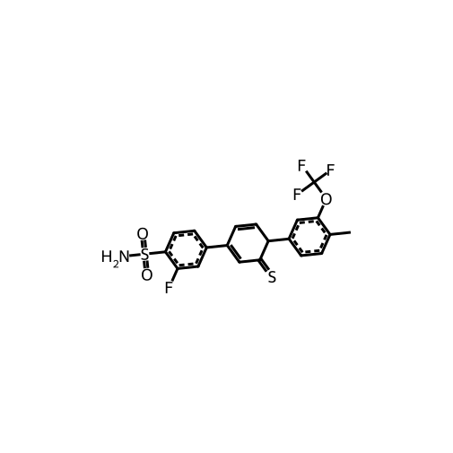 Cc1ccc(C2C=CC(c3ccc(S(N)(=O)=O)c(F)c3)=CC2=S)cc1OC(F)(F)F